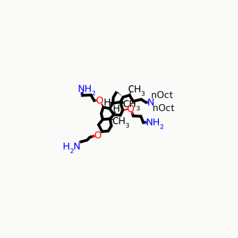 CCCCCCCCN(CCCCCCCC)CCC[C@@H](C)[C@H]1CC[C@H]2C3[C@H](OCCCN)CC4C[C@H](OCCCN)CC[C@]4(C)[C@H]3C[C@H](OCCCN)C12C